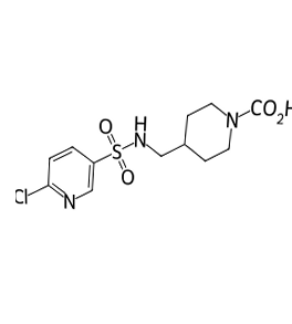 O=C(O)N1CCC(CNS(=O)(=O)c2ccc(Cl)nc2)CC1